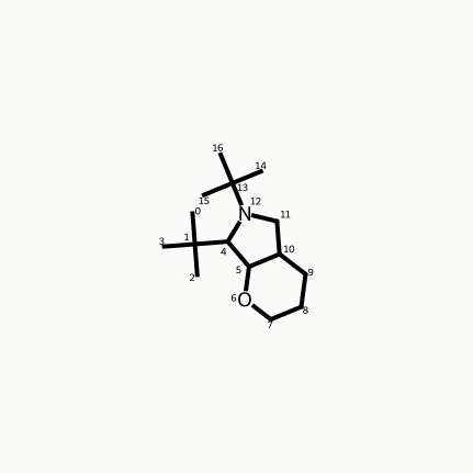 CC(C)(C)C1C2OCCCC2CN1C(C)(C)C